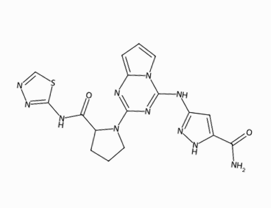 NC(=O)c1cc(Nc2nc(N3CCCC3C(=O)Nc3nncs3)nc3cccn23)n[nH]1